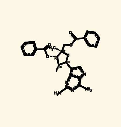 C[C@]1(COC(=O)c2ccccc2)O[C@@H](n2cnc3c(N)nc(N)nc32)[C@H](F)[C@@H]1OC(=O)c1ccccc1